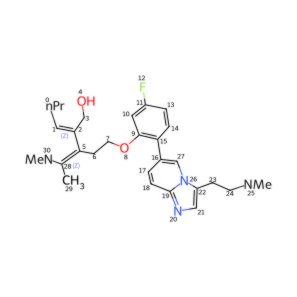 CCC/C=C(CO)/C(CCOc1cc(F)ccc1-c1ccc2ncc(CCNC)n2c1)=C(/C)NC